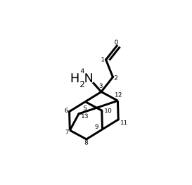 C=CCC1(N)C2CC3CC(C2)CC1C3